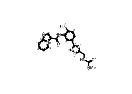 CNC(=O)NCc1nc(-c2ccc(C)c(NC(=O)c3cnc4ccccn34)c2)no1